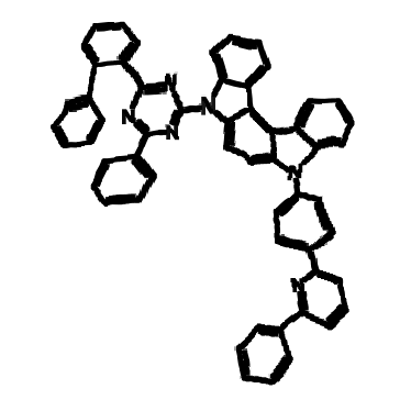 c1ccc(-c2cccc(-c3ccc(-n4c5ccccc5c5c6c7ccccc7n(-c7nc(-c8ccccc8)nc(-c8ccccc8-c8ccccc8)n7)c6ccc54)cc3)n2)cc1